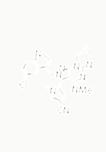 C/N=c1/nc(NC)c2c(-c3cc(C#N)cn3C)n(Cc3ccnc4ccc(Cl)cc34)nc2n1CC1CC1